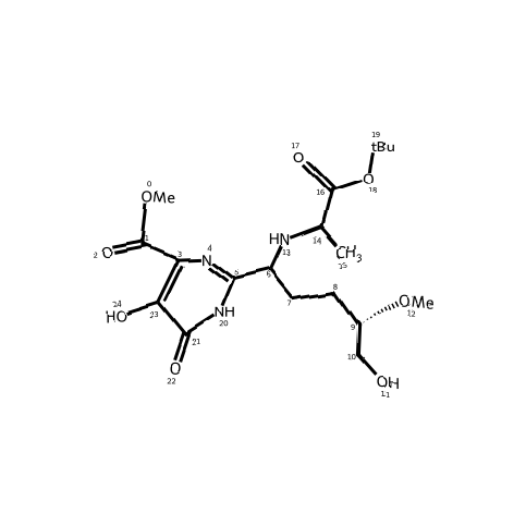 COC(=O)c1nc(C(CC[C@@H](CO)OC)NC(C)C(=O)OC(C)(C)C)[nH]c(=O)c1O